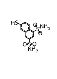 NS(=O)(=O)c1cc(S(N)(=O)=O)c2ccc(S)cc2c1